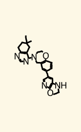 CC1(C)CCc2ncnc(N3CCOc4ccc(-c5cnc6c(c5)NCCO6)cc4C3)c2C1